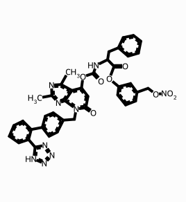 Cc1nc(C)c2c(OC(=O)NC(Cc3ccccc3)C(=O)Oc3cccc(CO[N+](=O)[O-])c3)cc(=O)n(Cc3ccc(-c4ccccc4-c4nnn[nH]4)cc3)c2n1